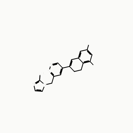 Cc1cc(C)c2c(c1)C=C(c1cnnc(Cn3ccnc3C)c1)CC2.Cl